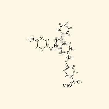 COC(=O)c1ccc(CNc2ncc3c(-c4ccccc4)nn(CC4CCC(N)CC4)c3n2)cc1